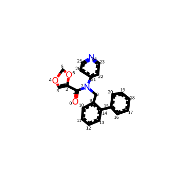 O=C(C1=COCO1)N(Cc1ccccc1-c1ccccc1)c1ccncc1